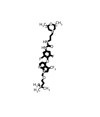 C[C@@H]1CN(CCCNC(=O)Nc2cc(F)c(Oc3ccnc4c3c(C(F)(F)F)cn4COCC[Si](C)(C)C)c(F)c2)C[C@@H](C)O1